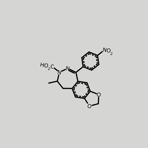 CC1Cc2cc3c(cc2C(c2ccc([N+](=O)[O-])cc2)=NN1C(=O)O)OCO3